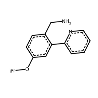 CC(C)Oc1ccc(CN)c(-c2ccccn2)c1